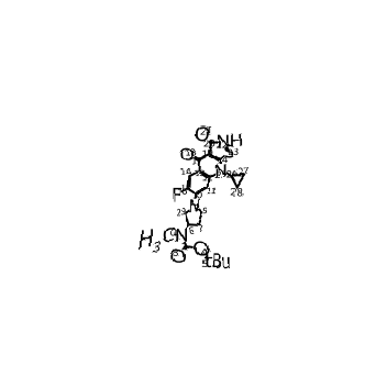 CN(C(=O)OC(C)(C)C)C1CCN(c2cc3c(cc2F)c(=O)c2c(=O)[nH]sc2n3C2CC2)C1